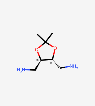 CC1(C)O[C@H](CN)[C@@H](CN)O1